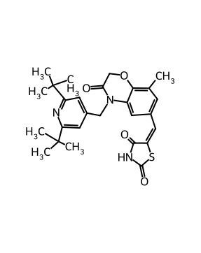 Cc1cc(C=C2SC(=O)NC2=O)cc2c1OCC(=O)N2Cc1cc(C(C)(C)C)nc(C(C)(C)C)c1